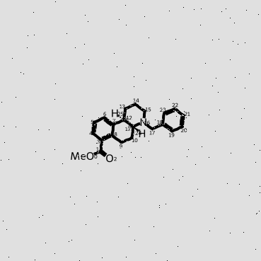 COC(=O)c1cccc2c1CC[C@@H]1[C@@H]2CCCN1Cc1ccccc1